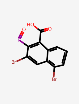 O=Ic1c(Br)cc2c(Br)cccc2c1C(=O)O